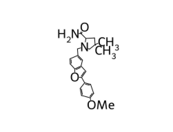 COc1ccc(-c2cc3cc(CN4CC(C)(C)CC4C(N)=O)ccc3o2)cc1